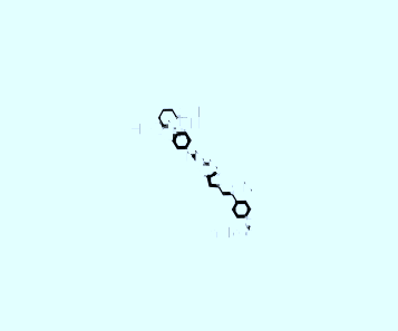 CCCCCCOc1ccc(/C(C#N)=C/c2cc3sc(/N=N/c4ccc(N5C(C)(C)CCCC5(C)C)cc4)nc3s2)cc1